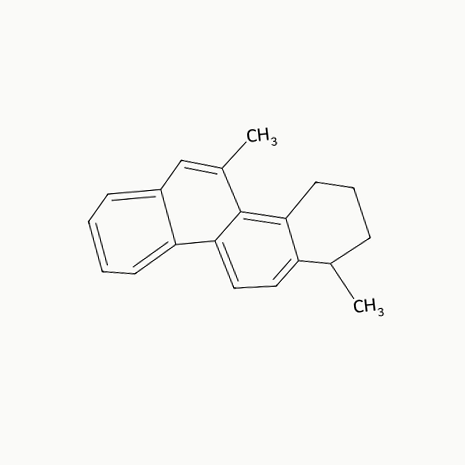 Cc1cc2ccccc2c2ccc3c(c12)CCCC3C